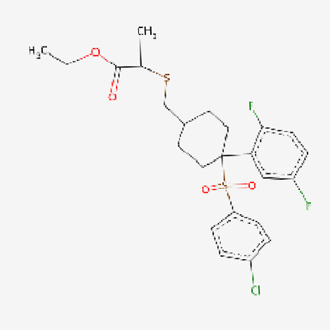 CCOC(=O)C(C)SCC1CCC(c2cc(F)ccc2F)(S(=O)(=O)c2ccc(Cl)cc2)CC1